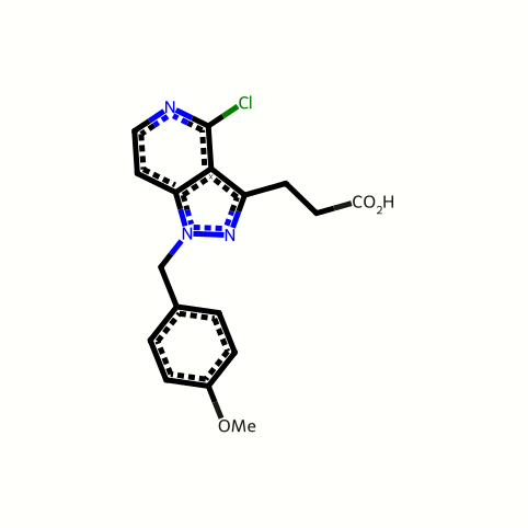 COc1ccc(Cn2nc(CCC(=O)O)c3c(Cl)nccc32)cc1